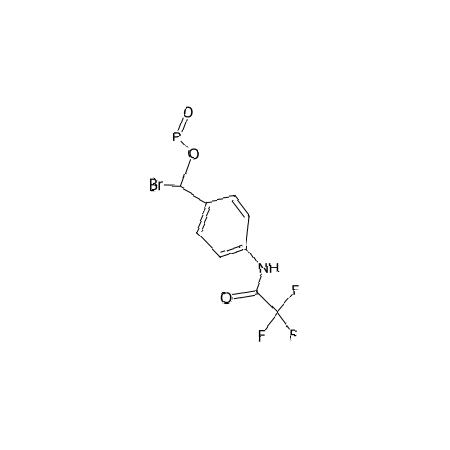 O=POC(Br)c1ccc(NC(=O)C(F)(F)F)cc1